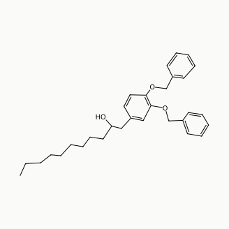 CCCCCCCCCC(O)Cc1ccc(OCc2ccccc2)c(OCc2ccccc2)c1